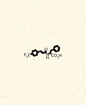 O=C(C=Cc1ccc(C(F)(F)F)cc1)N[C@@H](Cc1ccccc1)C(=O)O